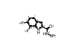 CC(C)NC(=O)c1cc2ccc(F)c(F)c2[nH]1